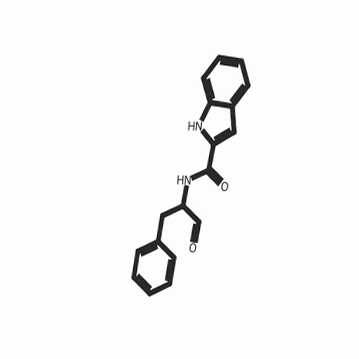 O=CC(Cc1ccccc1)NC(=O)c1cc2ccccc2[nH]1